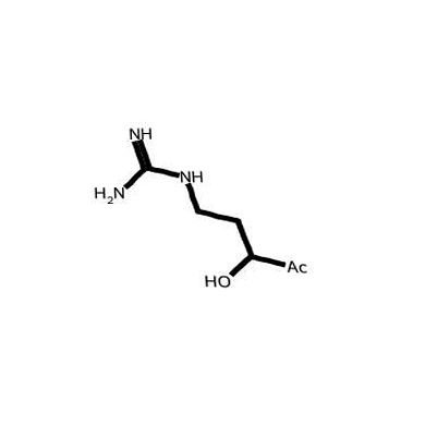 CC(=O)C(O)CCNC(=N)N